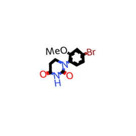 COc1cc(Br)ccc1N1CCC(=O)NC1=O